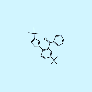 CC(C)(C)C1=CCC(c2ccc(C(C)(C)C)cc2C(=O)c2ccccc2)=C1